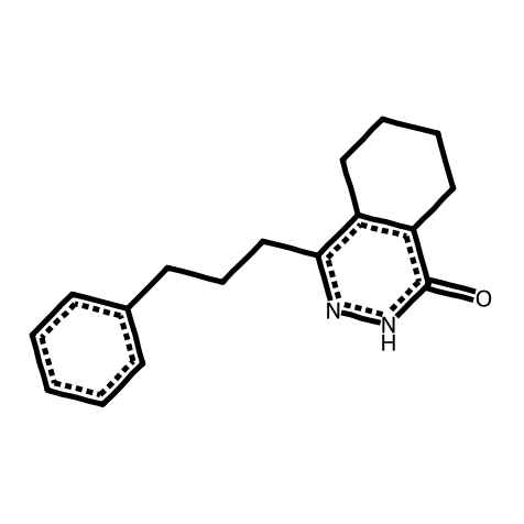 O=c1[nH]nc(CCCc2ccccc2)c2c1CCCC2